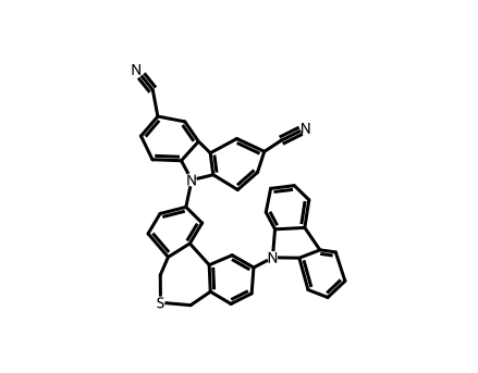 N#Cc1ccc2c(c1)c1cc(C#N)ccc1n2-c1ccc2c(c1)-c1cc(-n3c4ccccc4c4ccccc43)ccc1CSC2